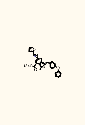 COC(=O)c1cc(/N=C/c2ccco2)nc2c1c(C)nn2Cc1ccc(Oc2ccccc2)cc1